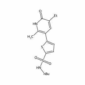 CCCCNS(=O)(=O)c1ccc(-c2cc(CC)c(=O)[nH]c2C)s1